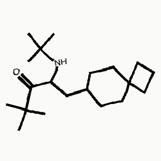 CC(C)(C)NC(CC1CCC2(CCC2)CC1)C(=O)C(C)(C)C